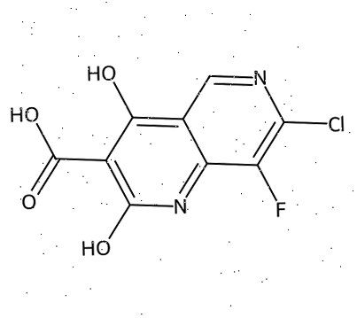 O=C(O)c1c(O)nc2c(F)c(Cl)ncc2c1O